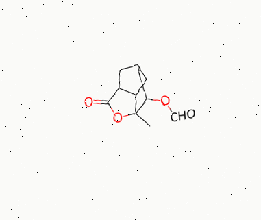 CC12OC(=O)C3CC(CC31)C2OC=O